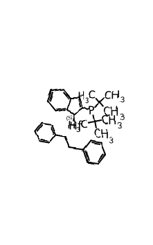 CC(C)(C)P(C1=Cc2ccccc2[C@@H]1[Hf])C(C)(C)C.c1ccc(CCc2ccccc2)cc1